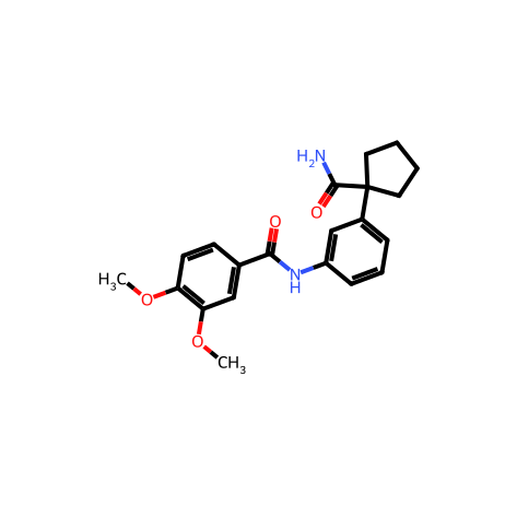 COc1ccc(C(=O)Nc2cccc(C3(C(N)=O)CCCC3)c2)cc1OC